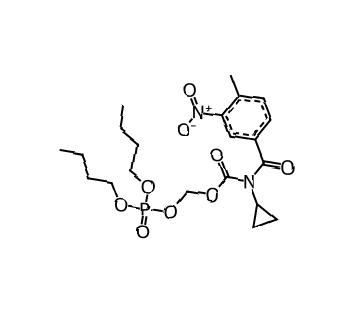 CCCCOP(=O)(OCCCC)OCOC(=O)N(C(=O)c1ccc(C)c([N+](=O)[O-])c1)C1CC1